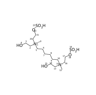 C[N+](CCO)(CCCCCC[N+](C)(CCO)CCOS(=O)(=O)O)CCOS(=O)(=O)O